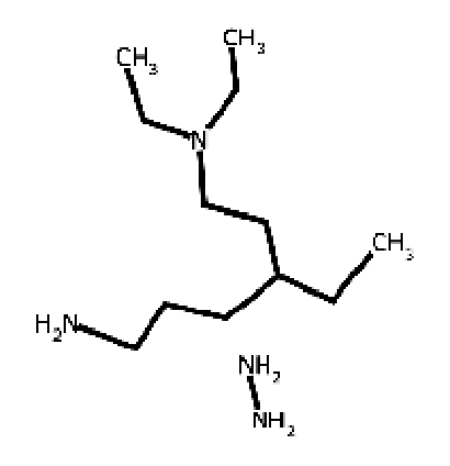 CCC(CCCN)CCN(CC)CC.NN